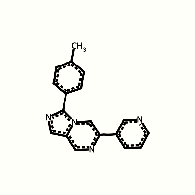 Cc1ccc(-c2ncc3cnc(-c4cccnc4)cn23)cc1